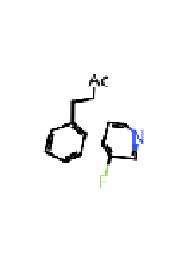 CC(=O)CCc1ccccc1.Fc1cccnc1